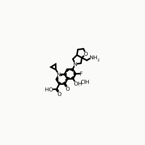 Cl.NCC12CN(c3cc4c(c(O)c3F)c(=O)c(C(=O)O)cn4C3CC3)CC1CCO2